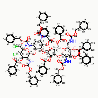 O=C(NC[C@@H]1O[C@H](O[C@H]2[C@@H](OC(=O)c3ccccc3)[C@H](O[C@@H]3[C@@H](OC(=O)c4ccccc4)[C@H](NC(=O)OCc4ccccc4)C[C@H](NC(=O)OCc4ccccc4)[C@H]3O[C@H]3O[C@H](CCl)[C@@H](Cl)[C@H](OC(=O)c4ccccc4)[C@H]3NC(=O)OCc3ccccc3)O[C@@H]2COC(=O)c2ccccc2)[C@H](NC(=O)OCc2ccccc2)[C@@H](OC(=O)c2ccccc2)[C@@H]1OC(=O)c1ccccc1)OCc1ccccc1